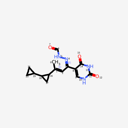 C/C(=C\C(=N/NC=O)c1c[nH]c(=O)[nH]c1=O)C1CC1C1CC1